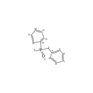 CP(=O)(Cc1ccccc1)c1ccccc1